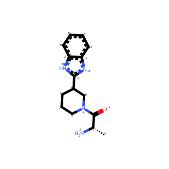 C[C@H](N)C(=O)N1CCCC(c2nc3ccccc3[nH]2)C1